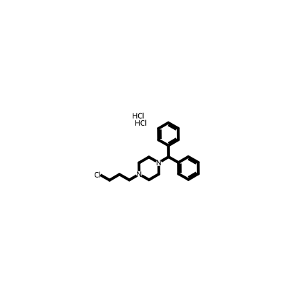 Cl.Cl.ClCCCN1CCN(C(c2ccccc2)c2ccccc2)CC1